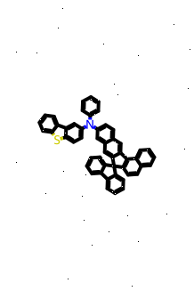 c1ccc(N(c2ccc3cc4c(cc3c2)C2(c3ccccc3-c3ccccc32)c2ccc3ccccc3c2-4)c2ccc3sc4ccccc4c3c2)cc1